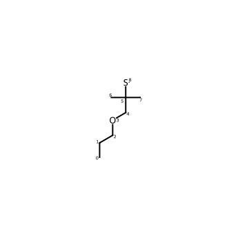 CCCOCC(C)(C)[S]